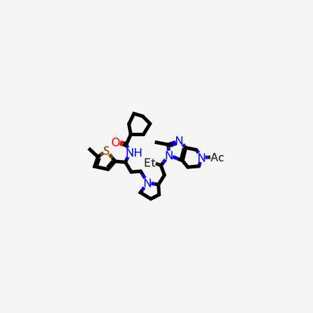 CCC(CC1CCCN1CCC(NC(=O)C1CCCCC1)c1ccc(C)s1)n1c(C)nc2c1CCN(C(C)=O)C2